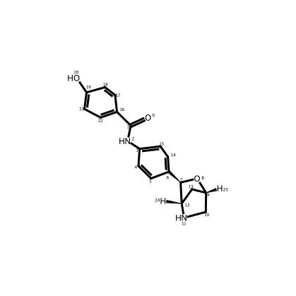 O=C(Nc1ccc([C@H]2O[C@@H]3CN[C@H]2C3)cc1)c1ccc(O)cc1